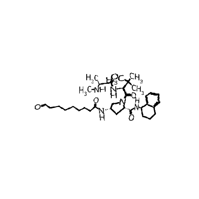 CN[C@@H](C)C(=O)N[C@H](C(=O)N1C[C@@H](NC(=O)CCCCCCCC=O)C[C@H]1C(=O)N[C@@H]1CCCc2ccccc21)C(C)(C)C